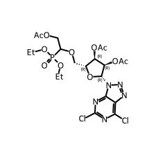 CCOP(=O)(OCC)C(COC(C)=O)OC[C@H]1O[C@@H](n2nnc3c(Cl)nc(Cl)nc32)[C@H](OC(C)=O)[C@@H]1OC(C)=O